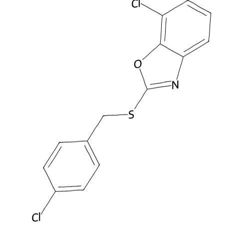 Clc1ccc(CSc2nc3cccc(Cl)c3o2)cc1